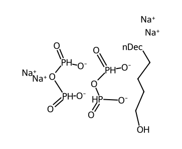 CCCCCCCCCCCCCCO.O=[PH]([O-])O[PH](=O)[O-].O=[PH]([O-])O[PH](=O)[O-].[Na+].[Na+].[Na+].[Na+]